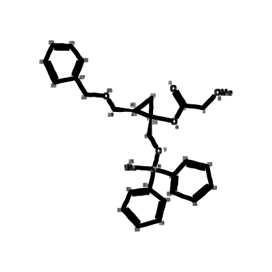 COCC(=O)O[C@@]1(CO[Si](c2ccccc2)(c2ccccc2)C(C)(C)C)C[C@@H]1COCc1ccccc1